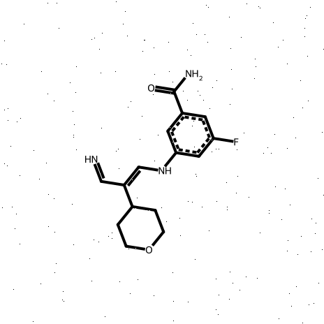 N=C/C(=C/Nc1cc(F)cc(C(N)=O)c1)C1CCOCC1